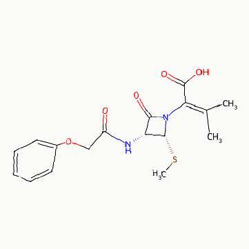 CS[C@@H]1[C@H](NC(=O)COc2ccccc2)C(=O)N1C(C(=O)O)=C(C)C